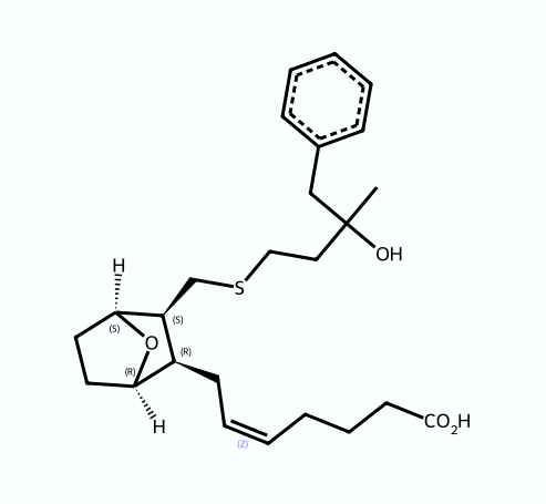 CC(O)(CCSC[C@H]1[C@@H](C/C=C\CCCC(=O)O)[C@H]2CC[C@@H]1O2)Cc1ccccc1